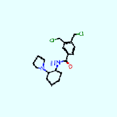 O=C(NC1CCCCC1N1CCCC1)c1ccc(CCl)c(CCl)c1